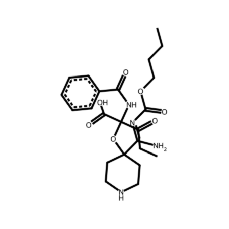 CCCCOC(=O)N=C(N)C1(OC(NC(=O)c2ccccc2)(C(=O)O)C(=O)CC)CCNCC1